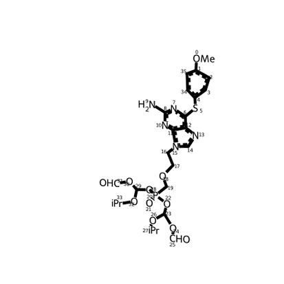 COc1ccc(Sc2nc(N)nc3c2ncn3CCOCP(=O)(OC(OC=O)OC(C)C)OC(OC=O)OC(C)C)cc1